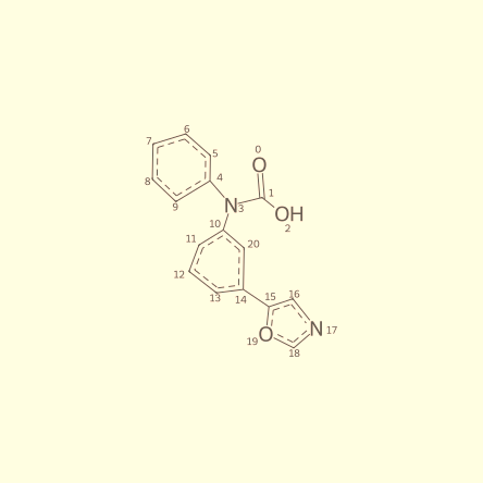 O=C(O)N(c1ccccc1)c1cccc(-c2cnco2)c1